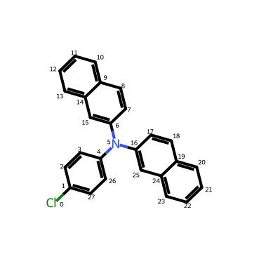 Clc1ccc(N(c2ccc3ccccc3c2)c2ccc3ccccc3c2)cc1